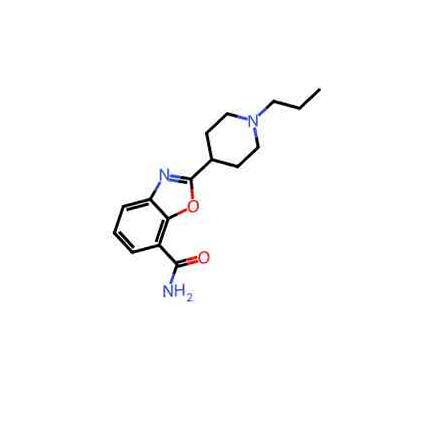 CCCN1CCC(c2nc3cccc(C(N)=O)c3o2)CC1